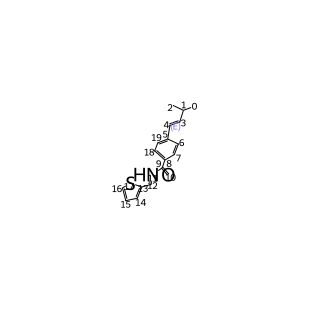 CC(C)/C=C/c1ccc(C(=O)NCc2cccs2)cc1